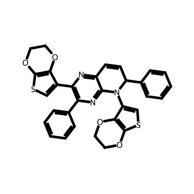 C1=CC(c2ccccc2)N(c2csc3c2OCCO3)c2nc(-c3ccccc3)c(-c3csc4c3OCCO4)nc21